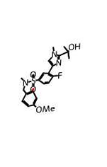 COc1ccc(CN(C)S(=O)(=O)c2ccc(F)c(-c3cn(C)c(C(C)(C)O)n3)c2)cc1